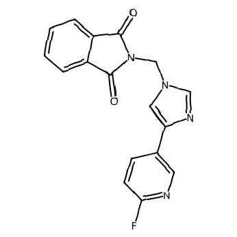 O=C1c2ccccc2C(=O)N1Cn1cnc(-c2ccc(F)nc2)c1